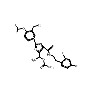 CCOc1cc(-c2nc(C(=O)NCCc3ccc(F)cc3F)c(C(C)OC(N)=O)o2)ccc1OC(F)F